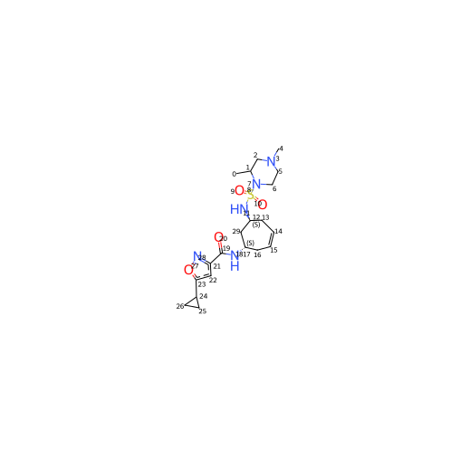 CC1CN(C)CCN1S(=O)(=O)N[C@H]1CC=CC[C@H](NC(=O)c2cc(C3CC3)on2)C1